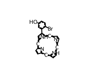 Oc1ccc(Br)c(-c2cc3cc4nc(cc5ccc(cc6nc(cc2[nH]3)C=C6)[nH]5)C=C4)c1